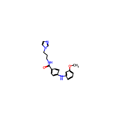 COc1cccc(Nc2ccc(C(=O)NCCCn3ccnc3)cc2)c1